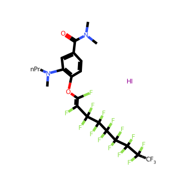 CCCN(C)c1cc(C(=O)N(C)C)ccc1OC(F)=C(F)C(F)(F)C(F)(F)C(F)(F)C(F)(F)C(F)(F)C(F)(F)C(F)(F)F.I